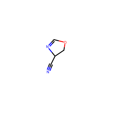 N#CC1CO[C]=N1